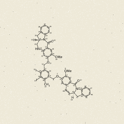 COc1cc2c(cc1OCc1cc(COc3cc4c(cc3OC)C(=O)N3c5ccccc5C[C@H]3CN4)c(I)c(I)c1C)N=C[C@@H]1Cc3ccccc3N1C2=O